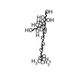 CC(C)(C)OC(=O)CCOCCOCCOCCOCCN(CC(O)C(O)C(O)CCO)C(=O)C(O)C(O)C(O)CCO